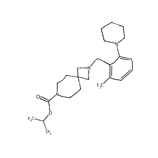 O=C(OC(C(F)(F)F)C(F)(F)F)N1CCC2(CC1)CN(Cc1c(N3CCCCC3)cccc1C(F)(F)F)C2